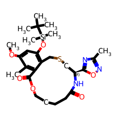 COc1cc(O[Si](C)(C)C(C)(C)C)c2c(c1C)C(=O)OCCCCC(=O)N[C@H](c1nc(C)no1)CSC2